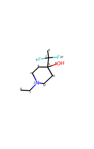 CCN1CCC(O)(C(C)(F)F)CC1